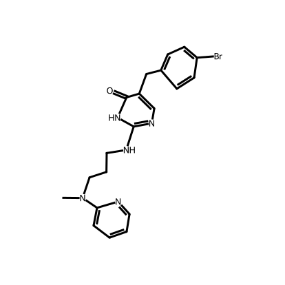 CN(CCCNc1ncc(Cc2ccc(Br)cc2)c(=O)[nH]1)c1ccccn1